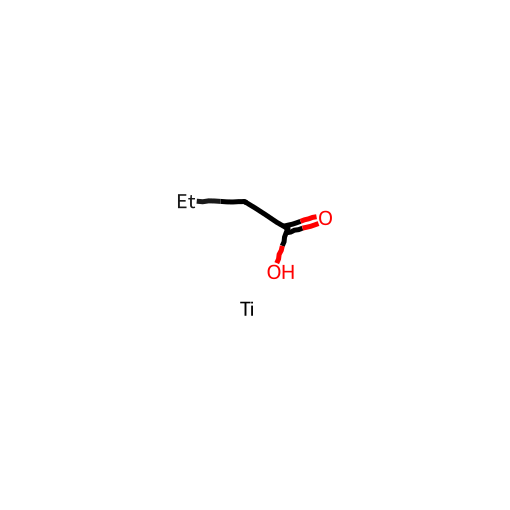 CCCC(=O)O.[Ti]